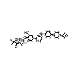 N#Cc1cc(-c2nccc(Nc3ccc(N4CCN(C5COC5)CC4)cc3)n2)ccc1O[C@@H]1CCN(C(=O)C2(O)CC2)C1